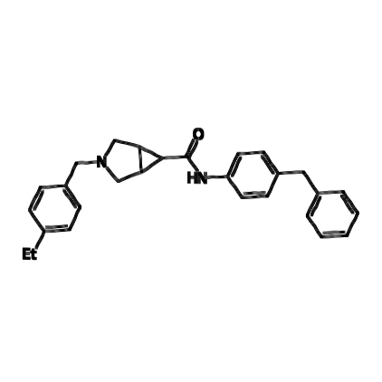 CCc1ccc(CN2CC3C(C2)C3C(=O)Nc2ccc(Cc3ccccc3)cc2)cc1